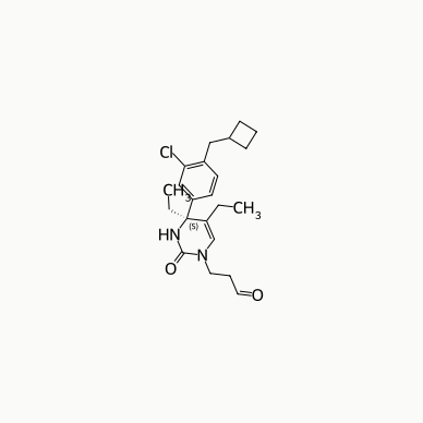 CCC1=CN(CCC=O)C(=O)N[C@@]1(CC)c1ccc(CC2CCC2)c(Cl)c1